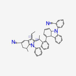 C/C=c1/c2c(n(-c3ccccc3)/c1=C(/C)c1ccccc1C1=CC=CC3C1c1ccccc1N3c1ccccc1C#N)C(C)CC(C#N)=C2